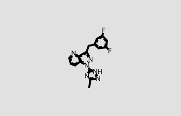 Cc1n[nH]c(-n2nc(Cc3cc(F)cc(F)c3)c3ncccc32)n1